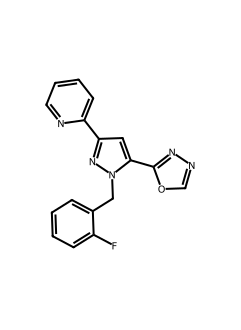 Fc1ccccc1Cn1nc(-c2ccccn2)cc1-c1nnco1